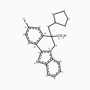 O=C(O)C1(CC2CCCC2)Cn2c(nc3ccccc32)-c2ccc(F)cc21